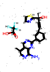 Cc1cnc(N)c2nc(-c3cccc(C#C[C@@](C)(O)c4nccs4)c3)ncc12.O=C(O)C(F)(F)F